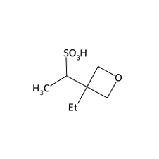 CCC1(C(C)S(=O)(=O)O)COC1